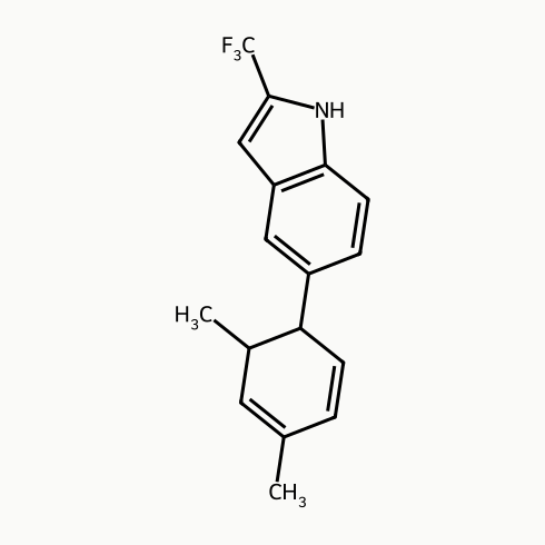 CC1=CC(C)C(c2ccc3[nH]c(C(F)(F)F)cc3c2)C=C1